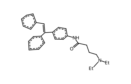 CCN(CC)CCCC(=O)Nc1ccc(/C(=C/c2ccccc2)c2ccccc2)cc1